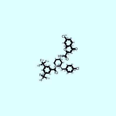 O=C(N[C@H]1CCN(C(=O)c2cc(C(F)(F)F)cc(C(F)(F)F)c2)[C@H](Cc2ccc(Cl)cc2)C1)c1cc(=O)c2ccc(Cl)cc2o1